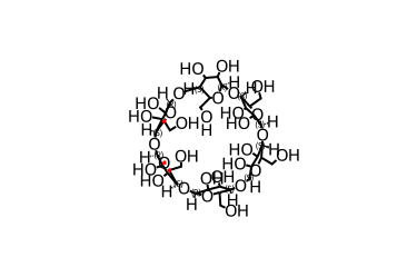 OCC1O[C@@H]2O[C@@H]3C(CO)O[C@H](O[C@@H]4C(CO)O[C@@H](O[C@@H]5C(CO)O[C@@H](O[C@@H]6C(CO)O[C@H](O[C@@H]7C(CO)O[C@H](O[C@H]1C(O)C2O)C(O)C7O)C(O)C6O)C(O)C5O)C(O)C4O)C(O)C3O